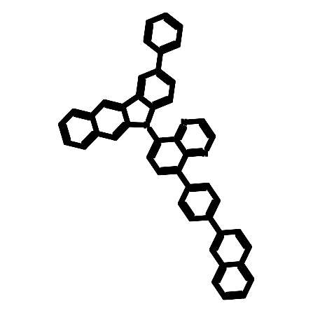 c1ccc(-c2ccc3c(c2)c2cc4ccccc4cc2n3-c2ccc(-c3ccc(-c4ccc5ccccc5c4)cc3)c3nccnc23)cc1